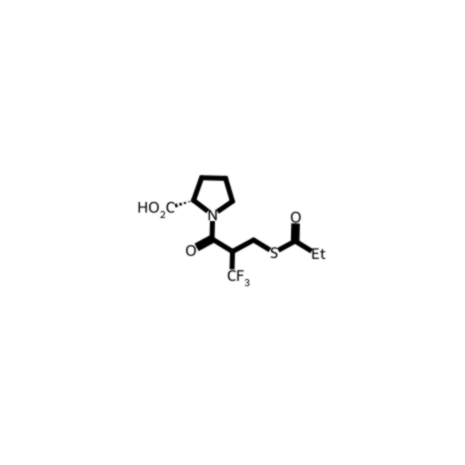 CCC(=O)SCC(C(=O)N1CCC[C@H]1C(=O)O)C(F)(F)F